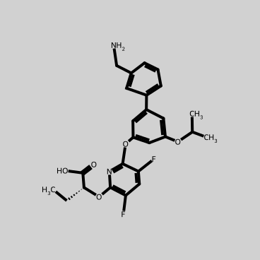 CC[C@@H](Oc1nc(Oc2cc(OC(C)C)cc(-c3cccc(CN)c3)c2)c(F)cc1F)C(=O)O